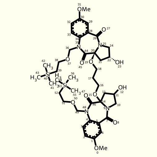 COc1ccc2c(c1)C(=O)N1CC(O)CC1(OCCCO[C@]13C[C@@H](O)CN1C(=O)c1cc(OC)ccc1N(COCC[Si](C)(C)C)C3=O)C(=O)N2COCC[Si](C)(C)C